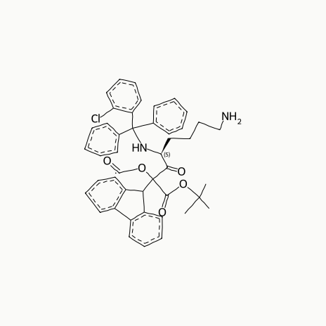 CC(C)(C)OC(=O)C(O[C]=O)(C(=O)[C@H](CCCCN)NC(c1ccccc1)(c1ccccc1)c1ccccc1Cl)C1c2ccccc2-c2ccccc21